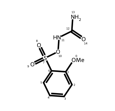 COc1ccccc1S(=O)(=O)ONC(N)=O